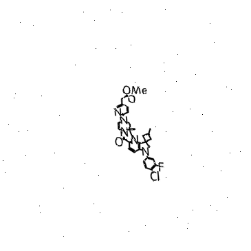 COC(=O)Cc1ccc(N2CCN(C(=O)c3ccc4c(n3)C3(CC(C)C3)CN4c3ccc(Cl)c(F)c3)C(C)(C)C2)nc1